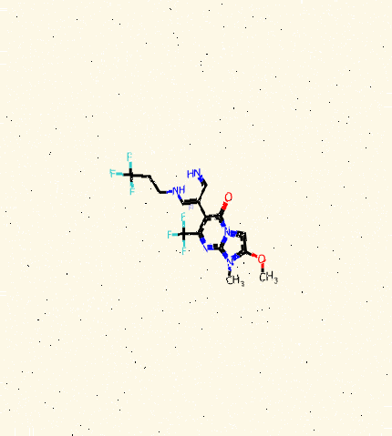 COc1cn2c(=O)c(/C(C=N)=C/NCCC(F)(F)F)c(C(F)(F)F)nc2n1C